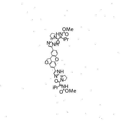 COC(=O)N[C@H](C(=O)N1CCC[C@H]1c1ncc(-c2cc3c4c(c2)Oc2ccc(-c5cnc([C@@H]6CCCN6C(=O)[C@@H](NC(=O)OC)C(C)C)[nH]5)cc2C4CO3)[nH]1)C(C)C